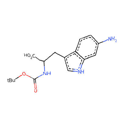 CC(C)(C)OC(=O)NC(Cc1c[nH]c2cc(N)ccc12)C(=O)O